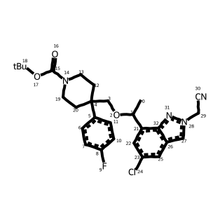 CC(OCC1(c2ccc(F)cc2)CCN(C(=O)OC(C)(C)C)CC1)c1cc(Cl)cc2cn(CC#N)nc12